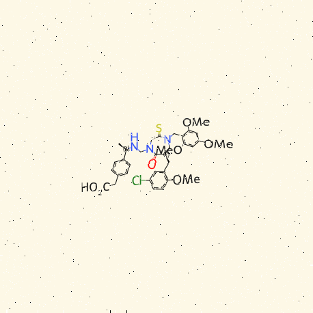 COc1cc(OC)c(CN2C[C@@H](Cc3cc(Cl)ccc3OC)C(=O)N(CN[C@H](C)c3ccc(CC(=O)O)cc3)CC2=S)c(OC)c1